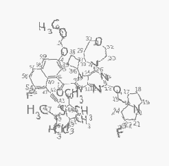 COCOc1cc(C(=O)c2nc3nc(OC[C@@]45CCCN4C[C@H](F)C5)nc(N4CCCOCC4)c3n2C2CCC2)c2c(C#C[Si](C(C)C)(C(C)C)C(C)C)c(F)ccc2c1